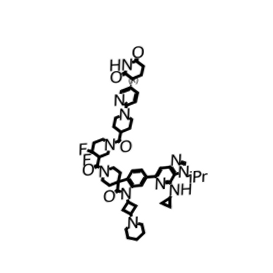 CC(C)n1cnc2cc(-c3ccc4c(c3)N(C3CC(N5CCCCC5)C3)C(=O)C43CCN(C(=O)C4CN(C(=O)C5CCN(c6ccc([C@H]7CCC(=O)NC7=O)cn6)CC5)CCC4(F)F)CC3)nc(NC3CC3)c21